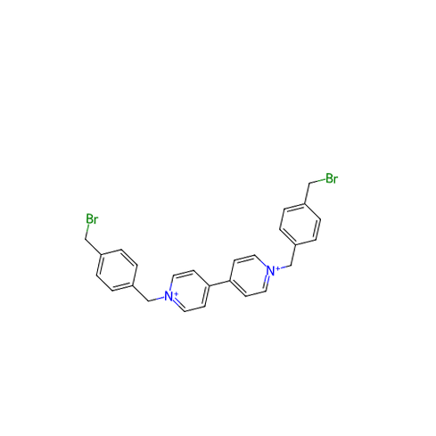 BrCc1ccc(C[n+]2ccc(-c3cc[n+](Cc4ccc(CBr)cc4)cc3)cc2)cc1